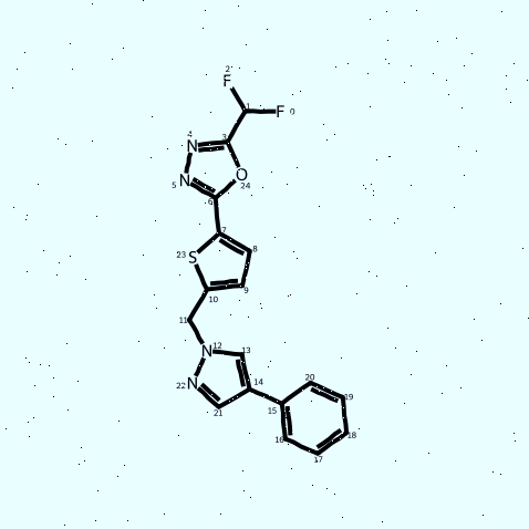 FC(F)c1nnc(-c2ccc(Cn3cc(-c4ccccc4)cn3)s2)o1